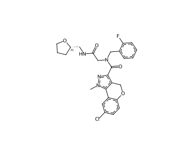 Cn1nc(C(=O)N(CC(=O)NC[C@@H]2CCCO2)Cc2ccccc2F)c2c1-c1cc(Cl)ccc1OC2